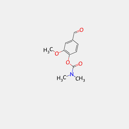 COc1cc(C=O)ccc1OC(=O)N(C)C